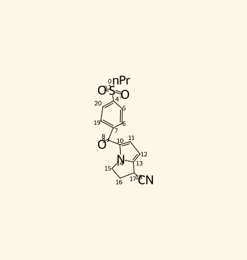 CCCS(=O)(=O)c1ccc(C(=O)c2ccc3n2CCC3C#N)cc1